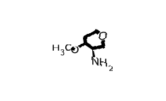 COC1CCOC[C@H]1N